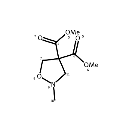 COC(=O)C1(C(=O)OC)CON(C)C1